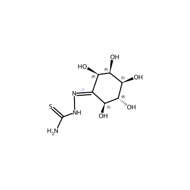 NC(=S)N/N=C1/[C@@H](O)[C@@H](O)[C@@H](O)[C@H](O)[C@H]1O